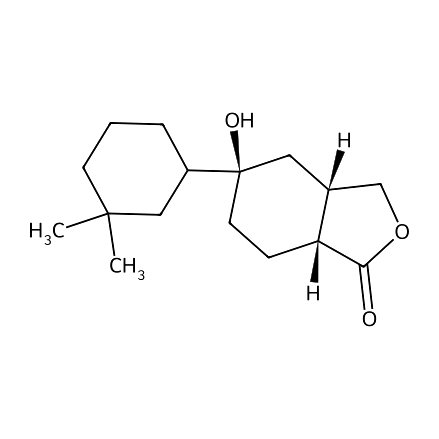 CC1(C)CCCC([C@@]2(O)CC[C@H]3C(=O)OC[C@H]3C2)C1